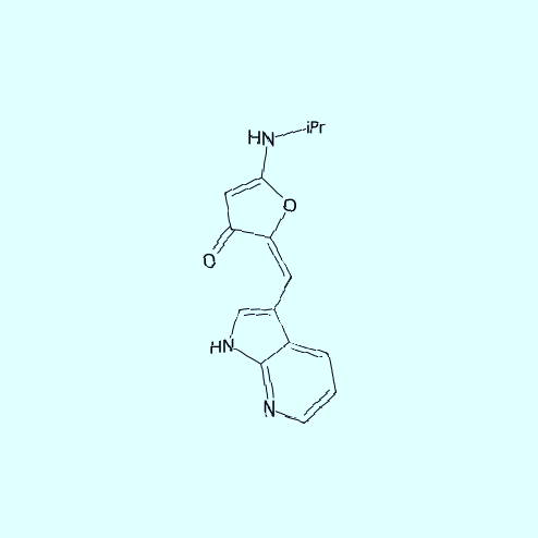 CC(C)NC1=CC(=O)C(=Cc2c[nH]c3ncccc23)O1